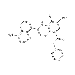 COc1cc(C(=O)Nc2ccccn2)c(Cl)c(NC(=O)c2cccc3c(N)ncnc23)c1Cl